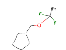 CC(C)C(F)(F)OCC1CCCC1